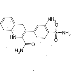 NC(=O)C1=C(c2ccc(S(N)(=O)=O)c(N)c2)Cc2ccccc2N1